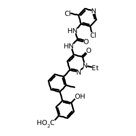 CCn1nc(-c2cccc(-c3cc(C(=O)O)ccc3O)c2C)cc(NC(=O)Nc2c(Cl)cncc2Cl)c1=O